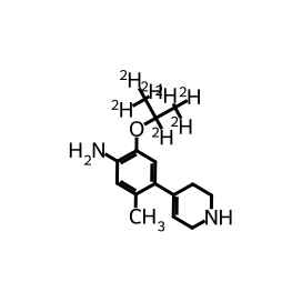 [2H]C([2H])([2H])C([2H])(Oc1cc(C2=CCNCC2)c(C)cc1N)C([2H])([2H])[2H]